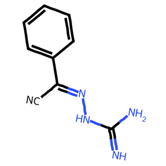 N#CC(=NNC(=N)N)c1ccccc1